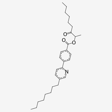 CCCCCCCCc1ccc(-c2ccc(C(=O)OC(C)C(=O)CCCCCC)cc2)nc1